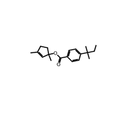 CCC(C)(C)c1ccc(C(=O)OC2(C)C=C(C)CC2)cc1